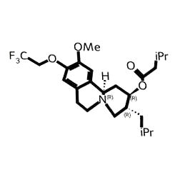 COc1cc2c(cc1OCC(F)(F)F)CCN1C[C@@H](CC(C)C)[C@H](OC(=O)CC(C)C)C[C@H]21